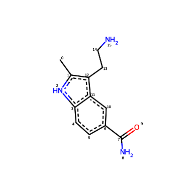 Cc1[nH]c2ccc(C(N)=O)cc2c1CCN